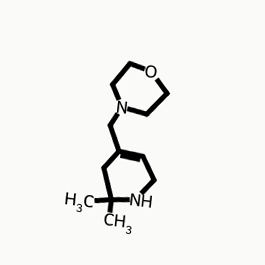 CC1(C)CC(CN2CCOCC2)=CCN1